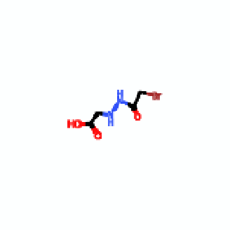 O=C(O)CNNC(=O)CBr